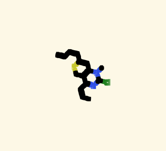 C=C/C=C\C1=CC2=C(CS1)C(/C=C\C)=NC(Cl)N2C